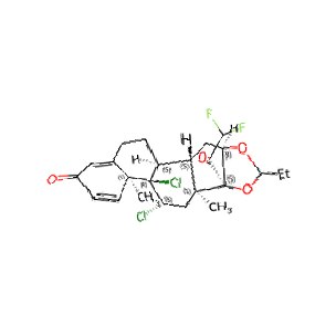 CCC1O[C@@H]2C[C@H]3[C@@H]4CCC5=CC(=O)C=C[C@]5(C)[C@@]4(Cl)[C@@H](Cl)C[C@]3(C)[C@]2(C(=O)C(F)F)O1